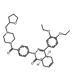 CCOc1ccc(C2=NN(c3ccc(C(=O)N4CCN(CC5CCCO5)CC4)cc3)C(=O)[C@@H]3CC=CC[C@H]23)cc1OCC